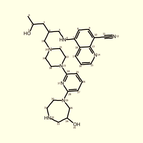 CC(O)CC(CNc1ccc(C#N)c2ncccc12)CN1CCN(c2cccc(N3CCNCC(O)C3)n2)CC1